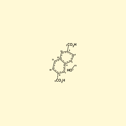 CO.O=C(O)c1ccc2cc(C(=O)O)ccc2c1